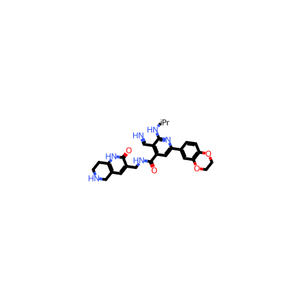 CC(C)Nc1nc(-c2ccc3c(c2)OCCO3)cc(C(=O)NCc2cc3c([nH]c2=O)CCNC3)c1C=N